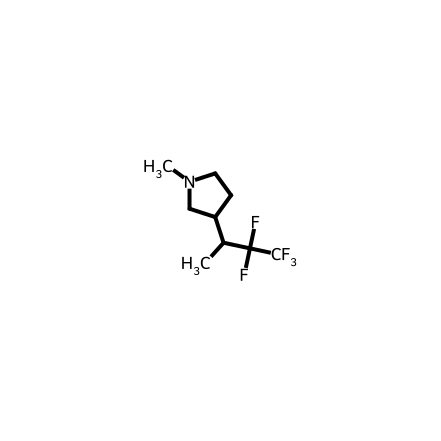 CC(C1CCN(C)C1)C(F)(F)C(F)(F)F